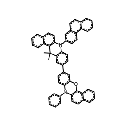 CC1(C)c2cc(-c3ccc4c(c3)Oc3c(ccc5ccccc35)N4c3ccccc3)ccc2N(c2ccc3c(ccc4ccccc43)c2)c2ccc3ccccc3c21